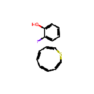 Oc1ccccc1I.c1ccccsccc1